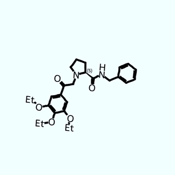 CCOc1cc(C(=O)CN2CCC[C@H]2C(=O)NCc2ccccc2)cc(OCC)c1OCC